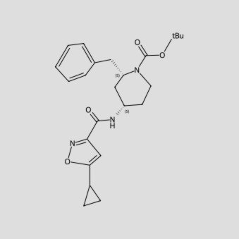 CC(C)(C)OC(=O)N1CC[C@H](NC(=O)c2cc(C3CC3)on2)C[C@@H]1Cc1ccccc1